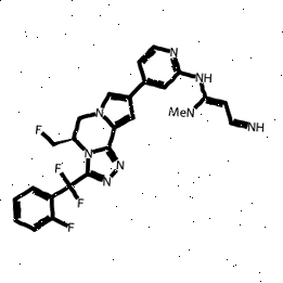 CN/C(=C\C=N)Nc1cc(-c2cc3n(c2)C[C@H](CF)n2c-3nnc2C(F)(F)c2ccccc2F)ccn1